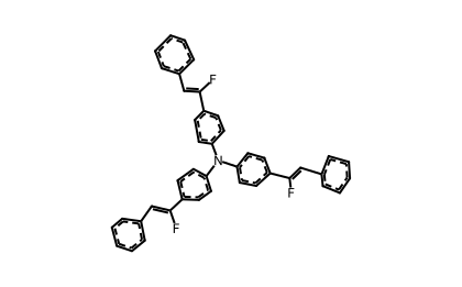 F/C(=C\c1ccccc1)c1ccc(N(c2ccc(/C(F)=C/c3ccccc3)cc2)c2ccc(/C(F)=C/c3ccccc3)cc2)cc1